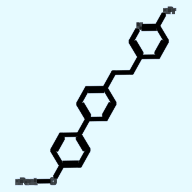 CCCCCOc1ccc(-c2ccc(CCc3ccc(CCC)nc3)cc2)cc1